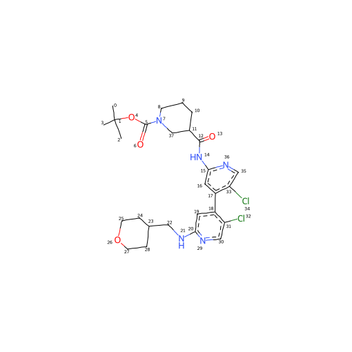 CC(C)(C)OC(=O)N1CCCC(C(=O)Nc2cc(-c3cc(NCC4CCOCC4)ncc3Cl)c(Cl)cn2)C1